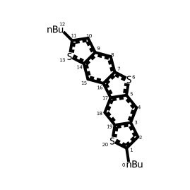 CCCCc1cc2cc3sc4cc5cc(CCCC)sc5cc4c3cc2s1